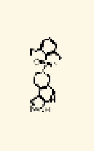 O=S(=O)(c1c(F)cccc1F)N1CCc2c(cnc3[nH]ncc23)C1